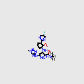 [2H]C([2H])([2H])NC(=O)c1nnc(Nc2cn(C)nn2)cc1Nc1cccc(-c2ncc(F)cn2)c1OC